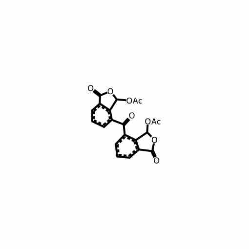 CC(=O)OC1OC(=O)c2cccc(C(=O)c3cccc4c3C(OC(C)=O)OC4=O)c21